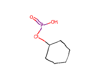 O=[P](O)OC1CCCCC1